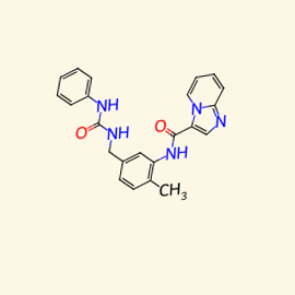 Cc1ccc(CNC(=O)Nc2ccccc2)cc1NC(=O)c1cnc2ccccn12